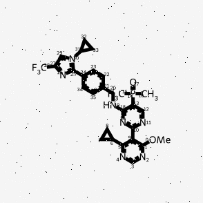 COc1ncnc(C2CC2)c1-c1ncc(P(C)(C)=O)c(NCc2ccc(-c3nc(C(F)(F)F)cn3C3CC3)cc2)n1